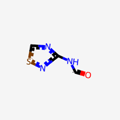 O=[C]Nc1ncsn1